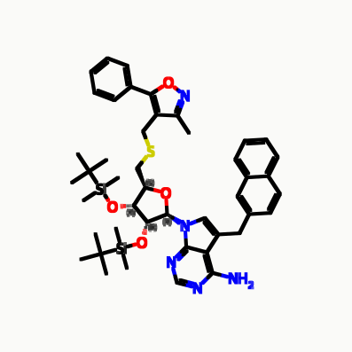 Cc1noc(-c2ccccc2)c1CSC[C@H]1O[C@@H](n2cc(Cc3ccc4ccccc4c3)c3c(N)ncnc32)[C@H](O[Si](C)(C)C(C)(C)C)[C@@H]1O[Si](C)(C)C(C)(C)C